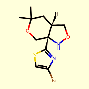 CC1(C)C[C@@H]2CON[C@]2(c2nc(Br)cs2)CO1